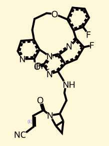 CC(C)c1nccc2c1-n1c(=O)nc(NCCC3C4CC4N3C(=O)/C=C/C#N)c3cc(F)c(nc31)-c1c(F)cccc1OCCC2